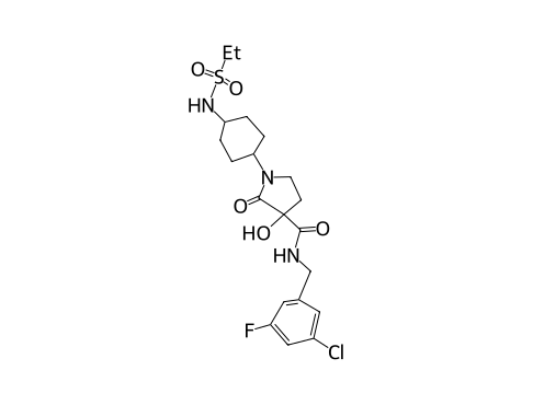 CCS(=O)(=O)NC1CCC(N2CCC(O)(C(=O)NCc3cc(F)cc(Cl)c3)C2=O)CC1